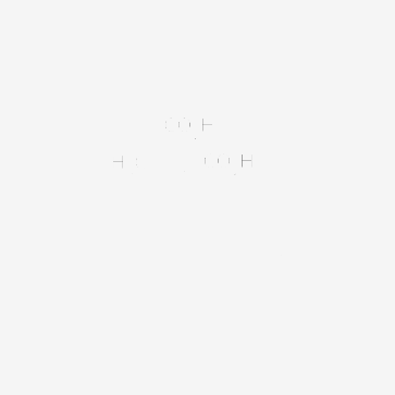 CC(C(=O)O)C(C(=O)O)C1c2ccccc2-c2cc3ccccc3cc21